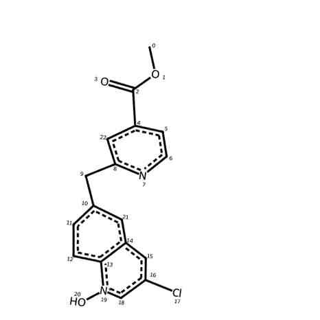 COC(=O)c1ccnc(Cc2ccc3c(cc(Cl)c[n+]3O)c2)c1